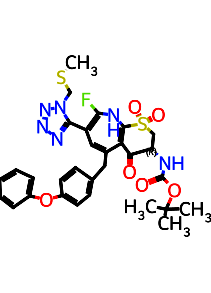 CSCn1nnnc1C1=C(F)NC2=C(C(=O)[C@@H](NC(=O)OC(C)(C)C)CS2(=O)=O)C(Cc2ccc(Oc3ccccc3)cc2)=C1